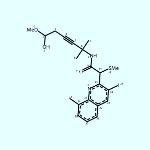 COC(O)CC#CC(C)(C)NC(=O)C(SC)c1nc2c(C)cccc2cc1I